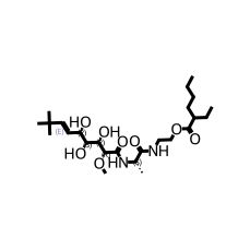 CCCCC(CC)C(=O)OCCNC(=O)[C@H](C)NC(=O)[C@H](OC)[C@H](O)[C@@H](O)[C@H](O)/C=C/C(C)(C)C